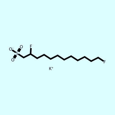 O=S(=O)([O-])CC(F)CCCCCCCCCCF.[K+]